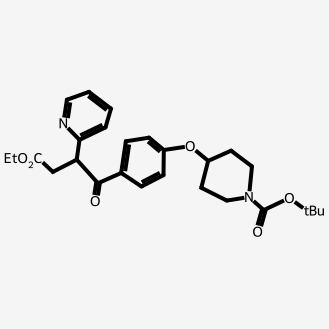 CCOC(=O)CC(C(=O)c1ccc(OC2CCN(C(=O)OC(C)(C)C)CC2)cc1)c1ccccn1